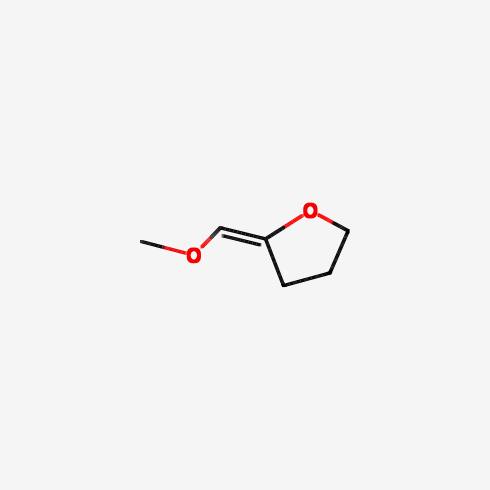 CO/C=C1\CCCO1